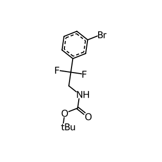 CC(C)(C)OC(=O)NCC(F)(F)c1cccc(Br)c1